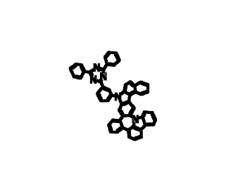 c1ccc(-c2nc(-c3ccccc3)nc(-c3cccc(-n4c5cc6c(cc5c5c7ccccc7ccc54)-n4c5ccccc5c5cccc(c54)-c4ccccc4-6)c3)n2)cc1